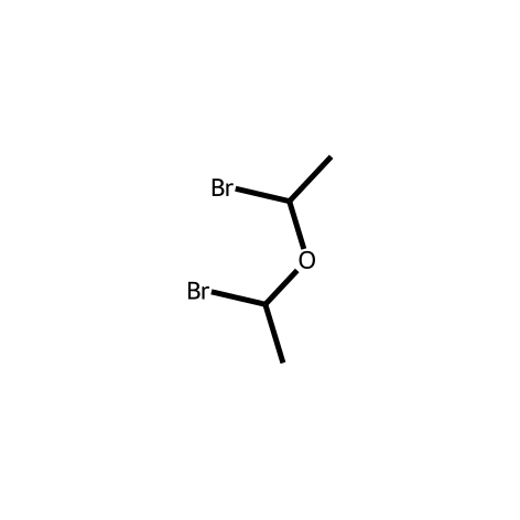 CC(Br)OC(C)Br